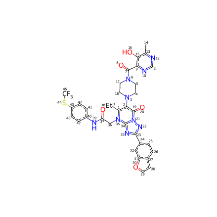 CCc1c(N2CCN(C(=O)c3ncnc(C)c3O)CC2)c(=O)n2nc(-c3ccc4ccoc4c3)nc2n1CC(=O)Nc1ccc(SC(F)(F)F)cc1